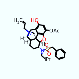 C=CCN1CC[C@]23c4c5c(O)cc(OC(C)=O)c4O[C@H]2[C@H](N(CC(C)C)S(=O)(=O)Cc2ccccc2)CC[C@H]3[C@H]1C5